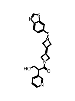 O=C(C(CO)c1cccnc1)N1CC(=C2CN(Sc3ccc4ncsc4c3)C2)C1